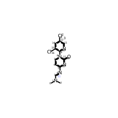 CN(C)/C=N/c1ccn(-c2ncc(C(F)(F)F)cc2Cl)c(=O)n1